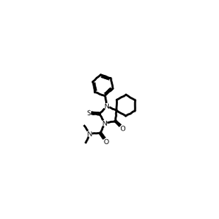 CN(C)C(=O)N1C(=O)C2(CCCCC2)N(c2ccccc2)C1=S